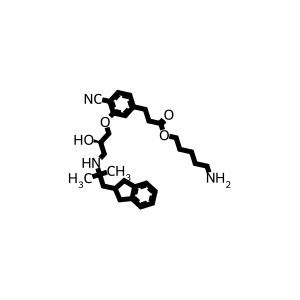 CC(C)(CC1Cc2ccccc2C1)NC[C@@H](O)COc1cc(CCC(=O)OCCCCCN)ccc1C#N